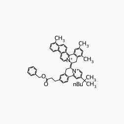 CCCCC(C)(C)c1cc[n+]2c(c1)-c1ccc(CCC(=O)OCc3ccccc3)cc1C/C2=C1/Cc2c(C)cc(C)cc2-c2c3ccc4c(C)cccc4c3cc[n+]21